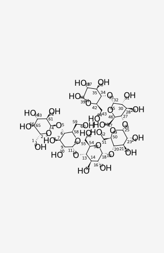 OC[C@H]1O[C@H](O[C@H]2[C@H](O)[C@@H](O)[C@@H](O[C@H]3[C@H](O)[C@@H](O)[C@@H](O[C@H]4[C@H](O)[C@@H](O)[C@@H](O[C@H]5[C@H](O)[C@@H](O)[C@@H](O[C@H]6[C@H](O)[C@@H](O)C(O)O[C@@H]6CO)O[C@@H]5CO)O[C@@H]4CO)O[C@@H]3CO)O[C@@H]2CO)[C@H](O)[C@@H](O)[C@@H]1O